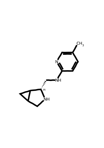 Cc1ccc(NC[C@@H]2NCC3CC32)nc1